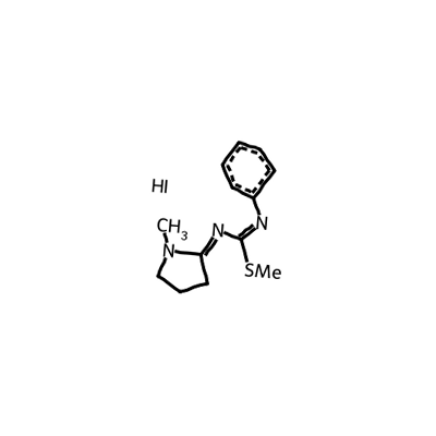 CSC(=Nc1ccccc1)N=C1CCCN1C.I